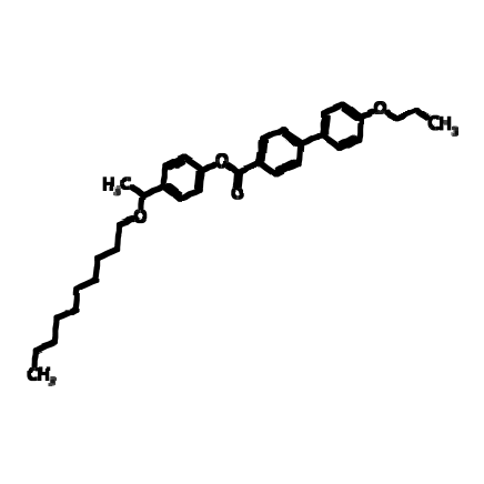 CCCCCCCCCCOC(C)c1ccc(OC(=O)c2ccc(-c3ccc(OCCC)cc3)cc2)cc1